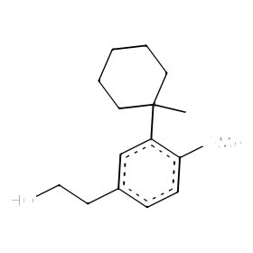 COc1ccc(CCO)cc1C1(C)CCCCC1